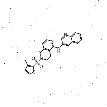 Cc1ccsc1S(=O)(=O)N1CCc2c(ccnc2Nc2cnc3ccccc3c2)C1